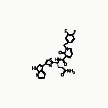 NC(=O)CC[C@@H](NC(=O)c1cccn(Cc2ccc(F)c(F)c2)c1=O)c1nc(-c2c[nH]c3ncccc23)cs1